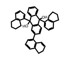 OC1(c2cccc3c2CCCC3)c2ccccc2C(O)(c2cccc3c2CCCC3)c2cc(-c3cccc4c3C=CCC4)ccc21